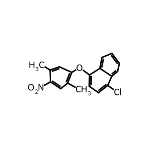 Cc1cc([N+](=O)[O-])c(C)cc1Oc1ccc(Cl)c2ccccc12